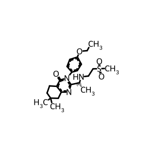 CCOc1ccc(-n2c([C@@H](C)NCCS(C)(=O)=O)nc3c(c2=O)CCC(C)(C)C3)cc1